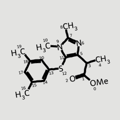 COC(=O)C(C)c1nc(C)n(C)c1Sc1cc(C)cc(C)c1